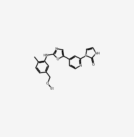 CCOCc1ccc(C)c(Nc2ncc(-c3ccnc(-n4cc[nH]c4=O)c3)o2)c1